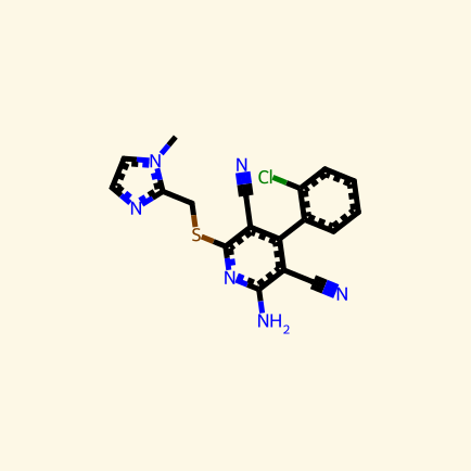 Cn1ccnc1CSc1nc(N)c(C#N)c(-c2ccccc2Cl)c1C#N